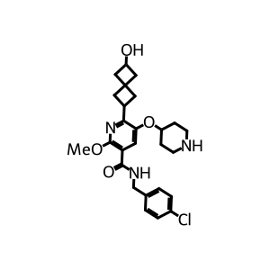 COc1nc(C2CC3(CC(O)C3)C2)c(OC2CCNCC2)cc1C(=O)NCc1ccc(Cl)cc1